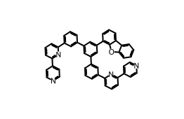 c1cc(-c2cc(-c3cccc(-c4cccc(-c5ccncc5)n4)c3)cc(-c3cccc4c3oc3ccccc34)c2)cc(-c2cccc(-c3ccncc3)n2)c1